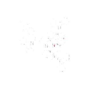 c1cc(-c2nc(-c3cccc(-n4c5ccccc5c5cccc(-c6cccc7c6sc6ccccc67)c54)c3)nc(-c3cccc(-n4c5ccccc5c5cccc(-c6cccc7c6sc6ccccc67)c54)c3)n2)cc(-n2c3ccccc3c3cccc(-c4cccc5c4sc4ccccc45)c32)c1